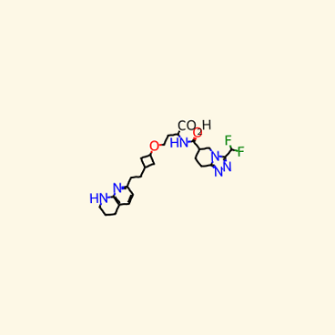 O=C(NC(CCOC1CC(CCc2ccc3c(n2)NCCC3)C1)C(=O)O)C1CCc2nnc(C(F)F)n2C1